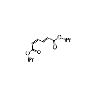 CC(C)OC(=O)/C=C\C=C\C(=O)OC(C)C